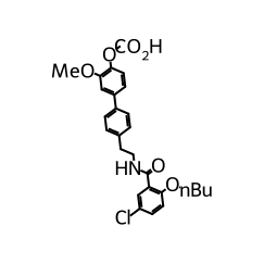 CCCCOc1ccc(Cl)cc1C(=O)NCCc1ccc(-c2ccc(OC(=O)O)c(OC)c2)cc1